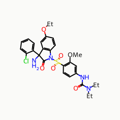 CCOc1ccc2c(c1)C(N)(c1ccccc1Cl)C(=O)N2S(=O)(=O)c1ccc(NC(=O)N(CC)CC)cc1OC